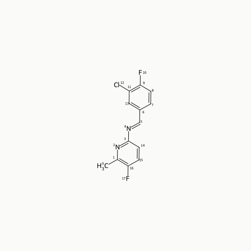 Cc1nc(N=Cc2ccc(F)c(Cl)c2)ccc1F